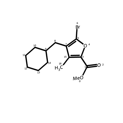 COC(=O)c1oc(Br)c(CC2CCCCC2)c1C